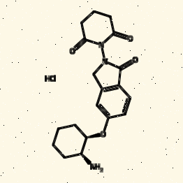 Cl.N[C@H]1CCCC[C@H]1Oc1ccc2c(c1)CN(N1C(=O)CCCC1=O)C2=O